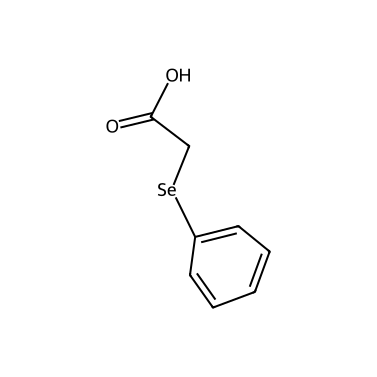 O=C(O)C[Se]c1ccccc1